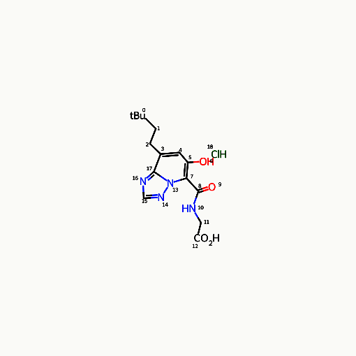 CC(C)(C)CCc1cc(O)c(C(=O)NCC(=O)O)n2ncnc12.Cl